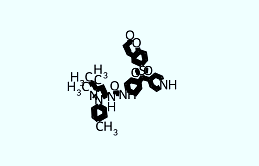 Cc1ccc(-n2nc(C(C)(C)C)cc2NC(=O)Nc2ccc(C(C3CCNCC3)S(=O)(=O)c3ccc4oc(=O)ccc4c3)cc2)cc1